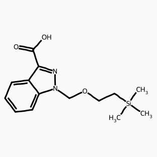 C[Si](C)(C)CCOCn1nc(C(=O)O)c2ccccc21